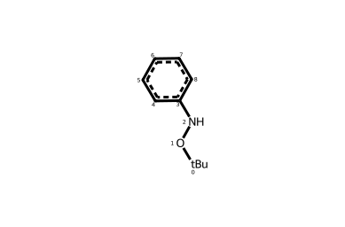 CC(C)(C)ONc1ccccc1